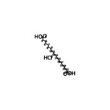 Cl.O=C(O)CCCCCCCCCCCCCCCCCCC(=O)O